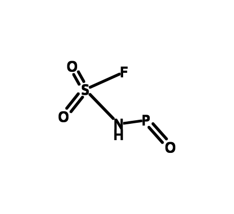 O=PNS(=O)(=O)F